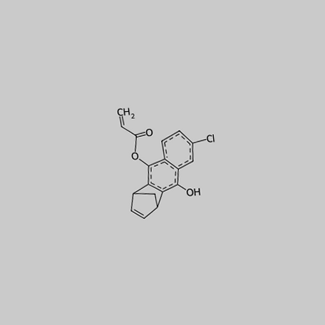 C=CC(=O)Oc1c2c(c(O)c3cc(Cl)ccc13)C1C=CC2C1